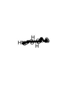 COc1ccc(CCO[C@@H]2CCCC[C@H]2N2CC[C@@H](OC(=O)NCCCCNC(=O)OCCc3ccc(OCC4CNC(C)CO4)cc3)C2)cc1OC